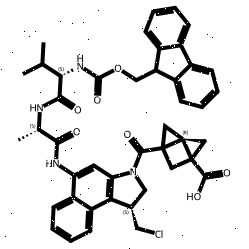 CC(C)[C@H](NC(=O)OCC1c2ccccc2-c2ccccc21)C(=O)N[C@@H](C)C(=O)Nc1cc2c(c3ccccc13)[C@H](CCl)CN2C(=O)C12CC3(C(=O)O)C[C@@]31C2